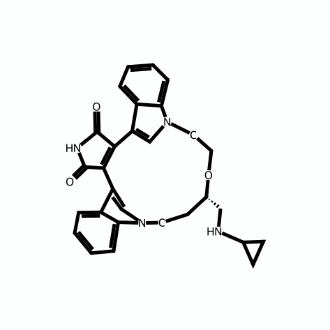 O=C1NC(=O)C2=C1c1cn(c3ccccc13)CCO[C@H](CNC1CC1)CCn1cc2c2ccccc21